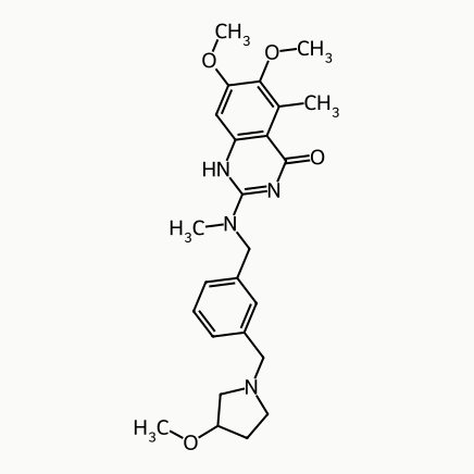 COc1cc2[nH]c(N(C)Cc3cccc(CN4CCC(OC)C4)c3)nc(=O)c2c(C)c1OC